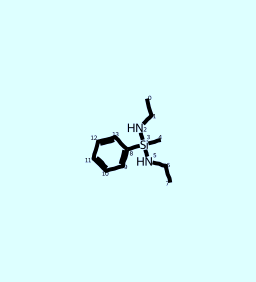 CCN[Si](C)(NCC)c1ccccc1